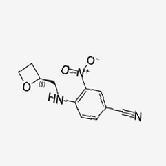 N#Cc1ccc(NC[C@@H]2CCO2)c([N+](=O)[O-])c1